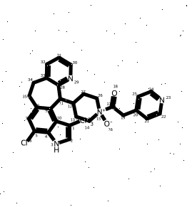 Cc1c[nH]c2c(Cl)cc3c(c12)C(C1CC[N+]([O-])(C(=O)Cc2ccncc2)CC1)c1ncccc1CC3